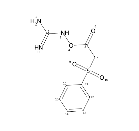 N=C(N)NOC(=O)CS(=O)(=O)c1ccccc1